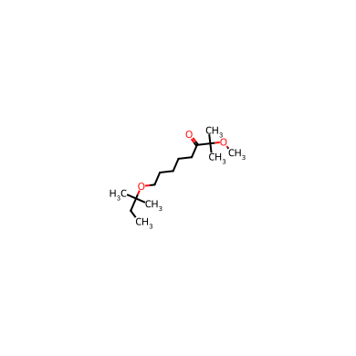 CCC(C)(C)OCCCCCC(=O)C(C)(C)OC